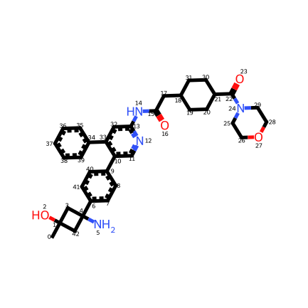 CC1(O)CC(N)(c2ccc(-c3cnc(NC(=O)CC4CCC(C(=O)N5CCOCC5)CC4)cc3-c3ccccc3)cc2)C1